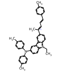 CCn1c2ccc(/C(C)=C/C=Cc3ccc(C)cc3)cc2c2cc(N(c3ccc(C)cc3)c3ccc(C)cc3)ccc21